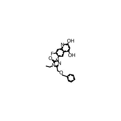 CCn1c(COCc2ccccc2)nn(-c2cc3c(O)cc(O)nc3cc2F)c1=O